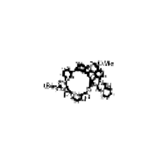 CCn1c(-c2cc(N3CCN4CCCC[C@@H]4C3)cnc2[C@H](C)OC)c2c3cc(ccc31)C1=CCCN(C1)C[C@H](NC(=O)OC(C)(C)C)C(=O)N1CCC[C@H](N1)C(=O)OCC(C)(C)C2